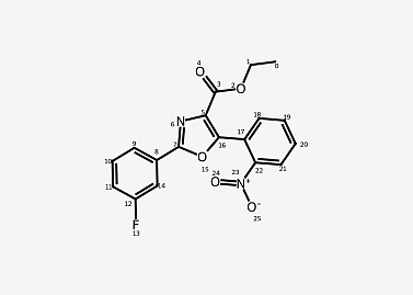 CCOC(=O)c1nc(-c2cccc(F)c2)oc1-c1ccccc1[N+](=O)[O-]